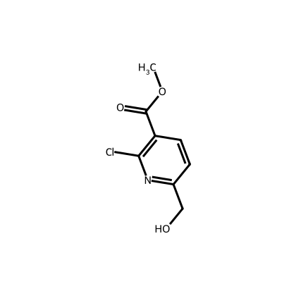 COC(=O)c1ccc(CO)nc1Cl